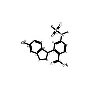 CN(c1ccc(C(N)=O)c(C2CCc3cc(Cl)ccc32)c1)S(C)(=O)=O